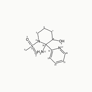 CS(=O)(=O)N1CCCC(O)C1(N)c1ccccn1